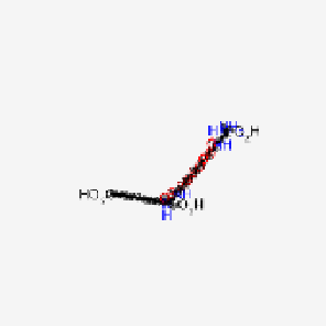 NN[C@@H](CCCCNC(=O)CCOCCOCCOCCOCCOCCOCCNC(=O)CC[C@H](NC(=O)CCCCCCCCCCCCCCCCCCC(=O)O)C(=O)O)C(=O)O